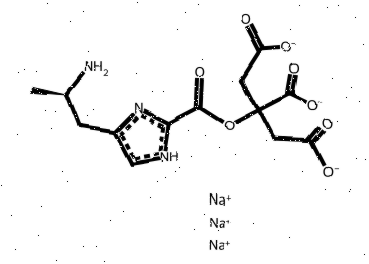 C[C@@H](N)Cc1c[nH]c(C(=O)OC(CC(=O)[O-])(CC(=O)[O-])C(=O)[O-])n1.[Na+].[Na+].[Na+]